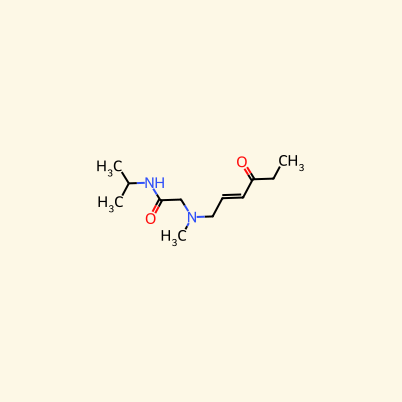 CCC(=O)/C=C/CN(C)CC(=O)NC(C)C